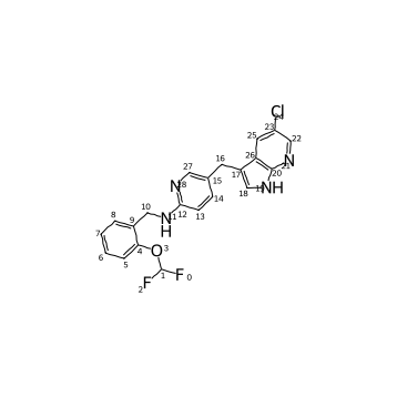 FC(F)Oc1ccccc1CNc1ccc(Cc2c[nH]c3ncc(Cl)cc23)cn1